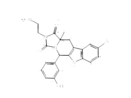 CNCCN1C(=O)N2C(c3cccc(O)c3)c3[nH]c4ccc(Cl)cc4c3CC2(C)C1=O